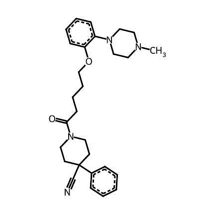 CN1CCN(c2ccccc2OCCCCC(=O)N2CCC(C#N)(c3ccccc3)CC2)CC1